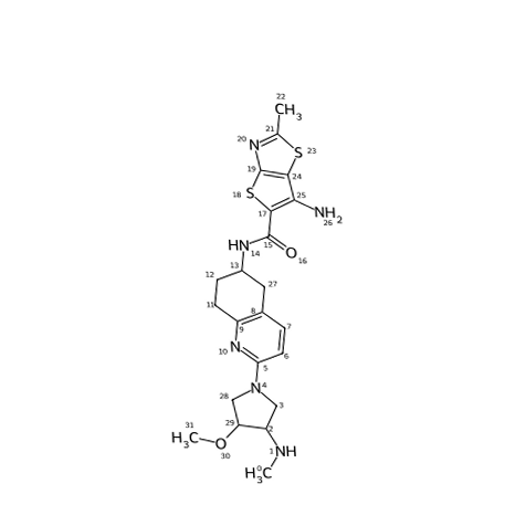 CNC1CN(c2ccc3c(n2)CCC(NC(=O)c2sc4nc(C)sc4c2N)C3)CC1OC